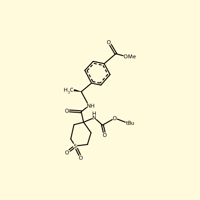 COC(=O)c1ccc([C@H](C)NC(=O)C2(NC(=O)OC(C)(C)C)CCS(=O)(=O)CC2)cc1